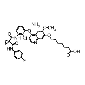 COc1cc2c(Oc3cccc(NC(=O)C4(C(=O)Nc5ccc(F)cc5)CC4)c3Cl)ccnc2cc1OCCCCCCC(=O)O.N